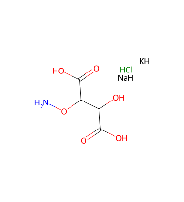 Cl.NOC(C(=O)O)C(O)C(=O)O.[KH].[NaH]